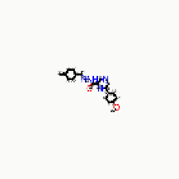 COc1ccc(-c2cncc(C(=O)NN=Cc3ccc(C)cc3)n2)cc1